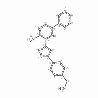 NCc1ccc(-c2nnc(-c3nc(-c4cccnc4)cnc3N)[nH]2)cc1